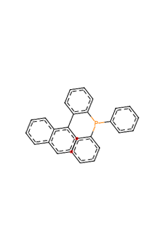 c1ccc(P(c2ccccc2)c2ccccc2-c2cccc3ccccc23)cc1